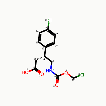 O=C(O)C[C@@H](CNC(=O)OCCl)c1ccc(Cl)cc1